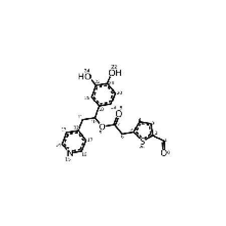 O=Cc1ccc(CC(=O)OC(Cc2ccncc2)c2ccc(O)c(O)c2)s1